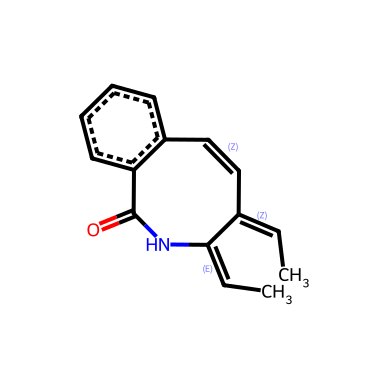 C/C=C1/C=C\c2ccccc2C(=O)N/C1=C/C